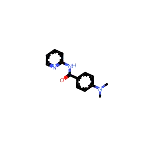 CN(C)c1ccc(C(=O)Nc2ccccn2)cc1